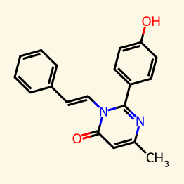 Cc1cc(=O)n(C=Cc2ccccc2)c(-c2ccc(O)cc2)n1